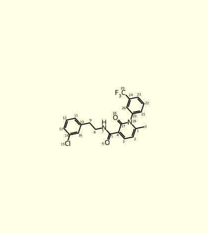 Cc1ccc(C(=O)NCCc2cccc(Cl)c2)c(=O)n1-c1cccc(C(F)(F)F)c1